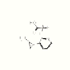 NC1CC1c1cccnc1.O=C(O)C(F)(F)F